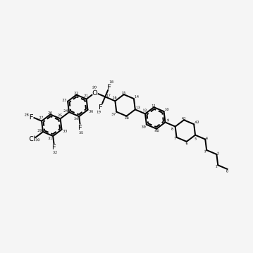 CCCCCC1CCC(c2ccc(C3CCC(C(F)(F)Oc4ccc(-c5cc(F)c(Cl)c(F)c5)c(F)c4)CC3)cc2)CC1